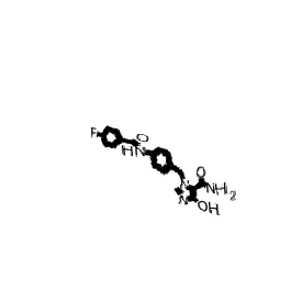 NC(=O)c1c(O)ncn1Cc1ccc(NC(=O)c2ccc(F)cc2)cc1